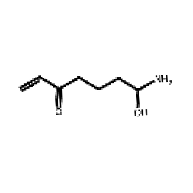 C=CC(=O)CCCC(N)O